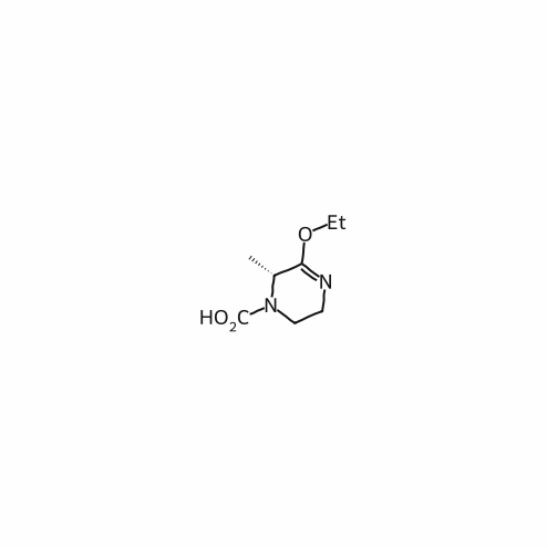 CCOC1=NCCN(C(=O)O)[C@@H]1C